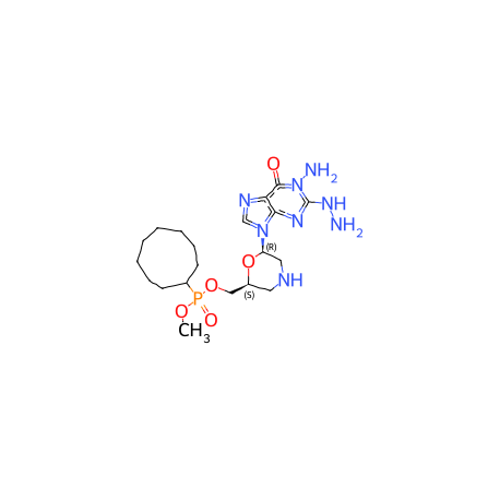 COP(=O)(OC[C@@H]1CNC[C@H](n2cnc3c(=O)n(N)c(NN)nc32)O1)C1CCCCCCCC1